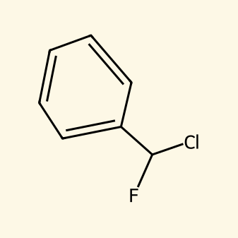 FC(Cl)c1ccccc1